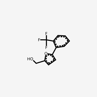 OCc1ccc(-c2ccccc2C(F)(F)F)o1